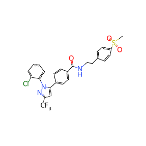 CS(=O)(=O)c1ccc(CCNC(=O)c2ccc(-c3cc(C(F)(F)F)nn3-c3ccccc3Cl)cc2)cc1